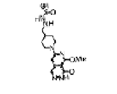 COc1nc(N2CCC(CNN[SH](=O)=O)CC2)cc2cn[nH]c(=O)c12